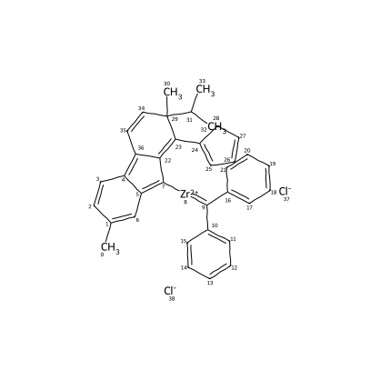 Cc1ccc2c(c1)=[C]([Zr+2]=[C](c1ccccc1)c1ccccc1)C1=C(C3=CC=CC3)C(C)(C(C)C)C=CC=21.[Cl-].[Cl-]